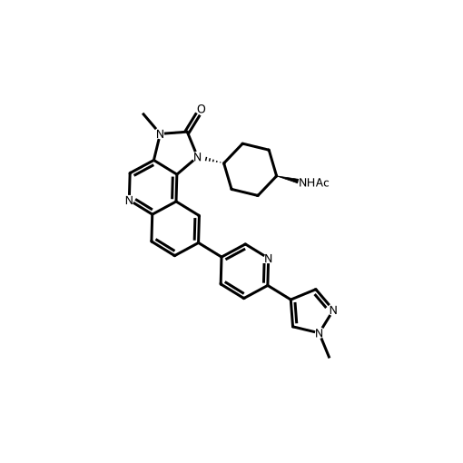 CC(=O)N[C@H]1CC[C@H](n2c(=O)n(C)c3cnc4ccc(-c5ccc(-c6cnn(C)c6)nc5)cc4c32)CC1